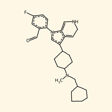 CN(CC1CCCCC1)C1CCC(c2cn(-c3ccc(F)cc3C=O)c3c2=CCNC=3)CC1